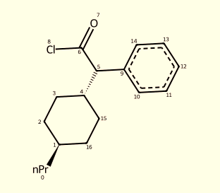 CCC[C@H]1CC[C@H](C(C(=O)Cl)c2ccccc2)CC1